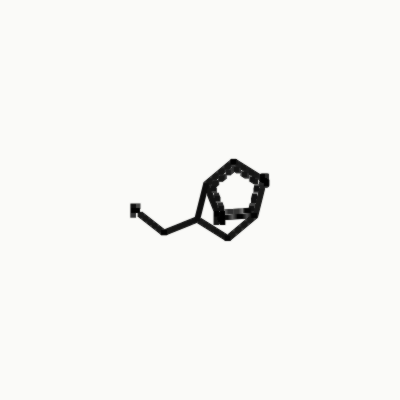 FCC1Cc2nc1cs2